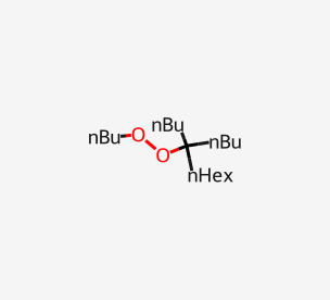 CCCCCCC(CCCC)(CCCC)OOCCCC